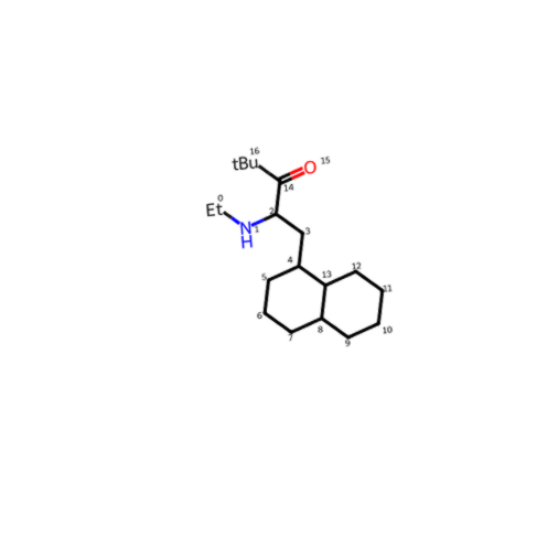 CCNC(CC1CCCC2CCCCC21)C(=O)C(C)(C)C